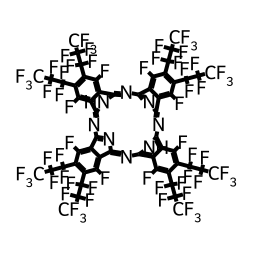 Fc1c2c(c(F)c(C(F)(F)C(F)(F)C(F)(F)F)c1C(F)(F)C(F)(F)C(F)(F)F)-c1nc-2nc2[nH]c(nc3nc(nc4[nH]c(n1)c1c(F)c(C(F)(F)C(F)(F)C(F)(F)F)c(C(F)(F)C(F)(F)C(F)(F)F)c(F)c41)-c1c(F)c(C(F)(F)C(F)(F)C(F)(F)F)c(C(F)(F)C(F)(F)C(F)(F)F)c(F)c1-3)c1c(F)c(C(F)(F)C(F)(F)C(F)(F)F)c(C(F)(F)C(F)(F)C(F)(F)F)c(F)c21